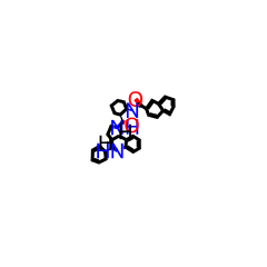 O=C(N[C@@H]1CCCC[C@@H]1C(=O)N1CC[C@@H]2[C@H](C3C=CC=CC3)Nc3ccccc3[C@@H]21)c1ccc2ccccc2c1